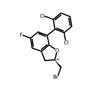 Fc1cc2c(c(-c3c(Cl)cccc3Cl)c1)O[C@@H](CBr)C2